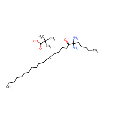 CC(C)(C)C(=O)O.CCCCCCCCCCCCCCCCCC(=O)C(N)(N)CCCCC